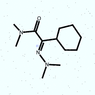 CN(C)/N=C(/C(=O)N(C)C)C1CCCCC1